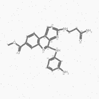 COC(=O)c1ccc2c(c1)nc(Nc1cccc(N)c1)c1nc(NCCC(N)=O)ncc12